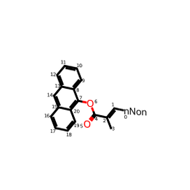 CCCCCCCCCC=C(C)C(=O)Oc1c2ccccc2cc2ccccc12